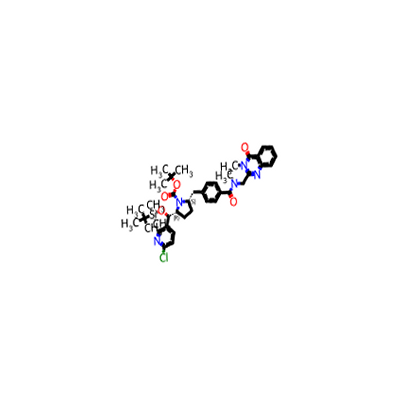 CN(Cc1nc2ccccc2c(=O)n1C)C(=O)c1ccc(C[C@@H]2CC[C@H](C(O[Si](C)(C)C(C)(C)C)c3ccc(Cl)nc3)N2C(=O)OC(C)(C)C)cc1